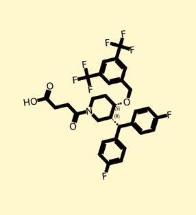 O=C(O)CCC(=O)N1CC[C@H](OCc2cc(C(F)(F)F)cc(C(F)(F)F)c2)[C@H](C(c2ccc(F)cc2)c2ccc(F)cc2)C1